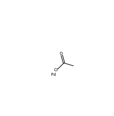 CC(=O)Cl.[Pd]